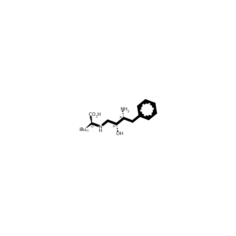 CC[C@H](C)[C@H](NC[C@@H](O)[C@H](N)Cc1ccccc1)C(=O)O